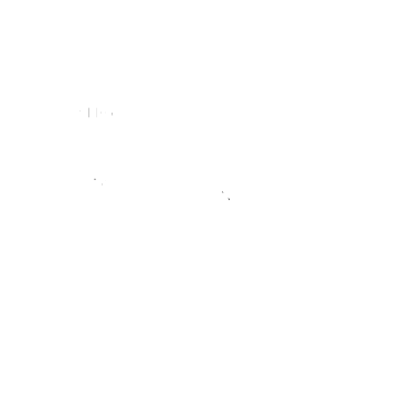 CCCCCCC(CCn1c2ccccc2c2ccccc21)C(C)=O